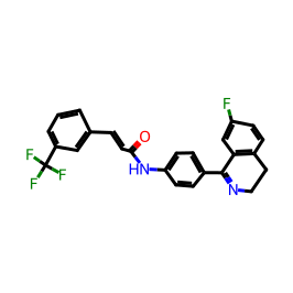 O=C(C=Cc1cccc(C(F)(F)F)c1)Nc1ccc(C2=NCCc3ccc(F)cc32)cc1